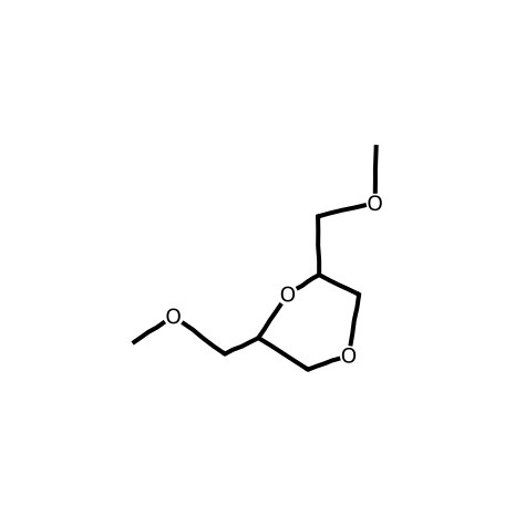 COCC1COCC(COC)O1